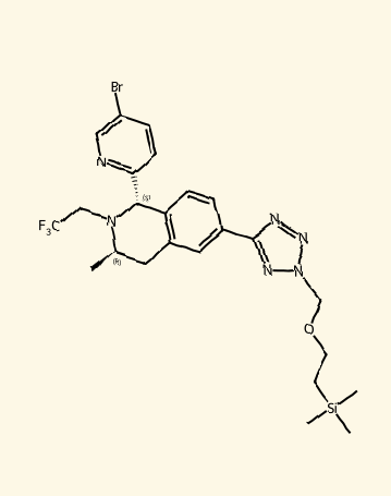 C[C@@H]1Cc2cc(-c3nnn(COCC[Si](C)(C)C)n3)ccc2[C@@H](c2ccc(Br)cn2)N1CC(F)(F)F